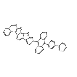 c1ccc(-c2ccc(-c3c4ccccc4c(-c4ccc5c(c4)sc4c5ccc5c4sc4ccc6ccccc6c45)c4ccccc34)cc2)cc1